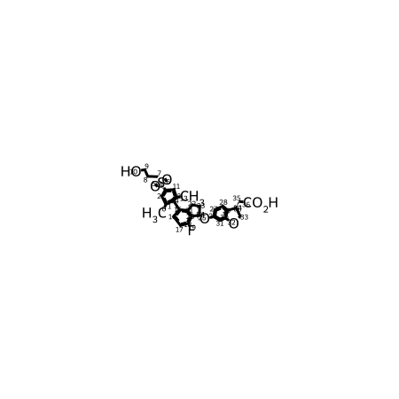 Cc1cc(S(=O)(=O)CCCO)cc(C)c1-c1ccc(F)c2c1CC[C@H]2Oc1ccc2c(c1)OC[C@H]2CC(=O)O